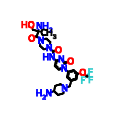 C[C@](N)(CO)C(=O)N1CCN(C(=O)Nc2ccn(-c3cc(CN4CCC(N)CC4)cc(OC(F)(F)F)c3)c(=O)n2)CC1